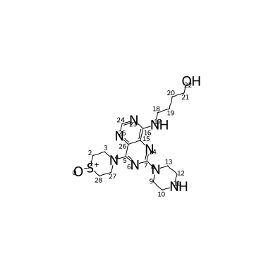 [O-][S+]1CCN(c2nc(N3CCNCC3)nc3c(NCCCCO)ncnc23)CC1